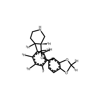 [2H]c1c([2H])c(C2([2H])CCNC[C@]2([2H])C([2H])([2H])Oc2ccc3c(c2)OC([2H])([2H])O3)c([2H])c([2H])c1F